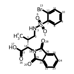 CC(CNS(=O)(=O)c1ccccc1Br)[C@@H](C(=O)O)N1C(=O)c2ccccc2C1=O